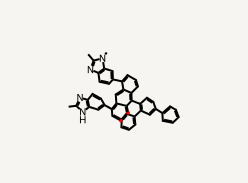 Cc1nc2ccc(-c3cccc4c(-c5ccc(-c6ccccc6)cc5-c5ccccc5)c5cccc(-c6ccc7nc(C)n(C)c7c6)c5cc34)cc2[nH]1